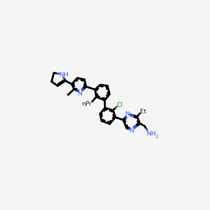 CCCc1c(-c2ccc(C3=CCCN3)c(C)n2)cccc1-c1cccc(-c2cnc(CN)c(CC)n2)c1Cl